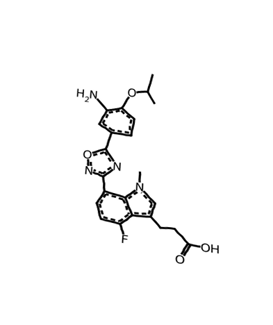 CC(C)Oc1ccc(-c2nc(-c3ccc(F)c4c(CCC(=O)O)cn(C)c34)no2)cc1N